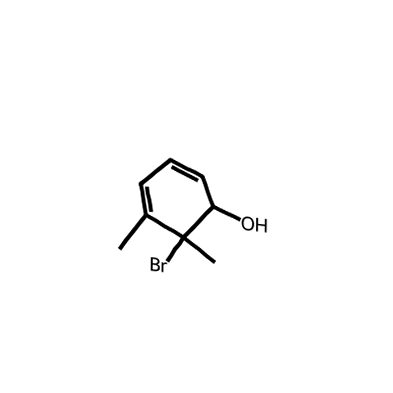 CC1=CC=CC(O)C1(C)Br